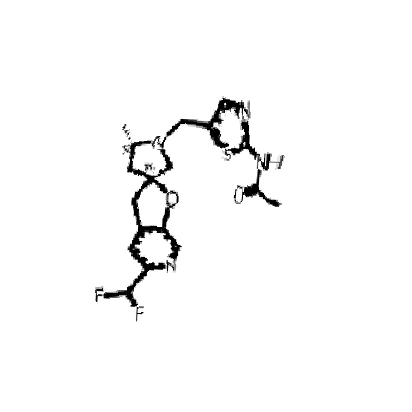 CC(=O)Nc1ncc(CN2C[C@@]3(Cc4cc(C(F)F)ncc4O3)C[C@@H]2C)s1